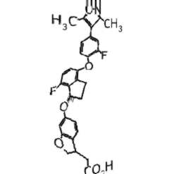 Cc1noc(C)c1-c1ccc(Oc2ccc(F)c3c2CC[C@H]3Oc2ccc3c(c2)OCC3CC(=O)O)c(F)c1